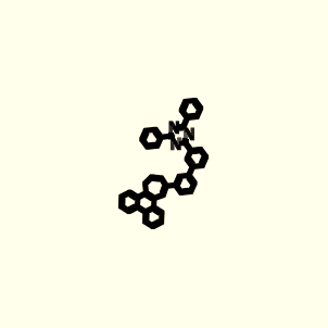 C1=CC(c2cccc(-c3cccc(-c4nc(-c5ccccc5)nc(-c5ccccc5)n4)c3)c2)=Cc2c(c3ccccc3c3ccccc23)C1